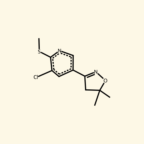 CSc1ncc(C2=NOC(C)(C)C2)cc1Cl